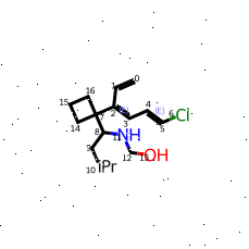 C=C/C(=C\C=C\Cl)C1(C(CC(C)C)NCO)CCC1